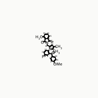 COc1ccc(C(=O)c2cc(F)ccc2-n2c(CN3C(=O)c4c(C)cccc4C3=S)cc(C)c2C)cc1